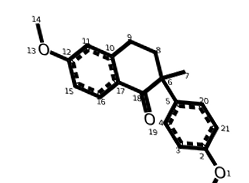 COc1ccc(C2(C)CCc3cc(OC)ccc3C2=O)cc1